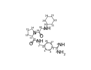 N=C(N)c1ccc(CNC(=O)C2CCCN2C(=O)CNC2CCCCC2)cc1